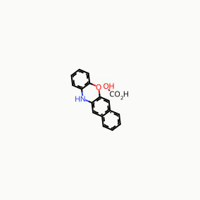 O=C(O)O.c1ccc2c(c1)Nc1cc3ccccc3cc1O2